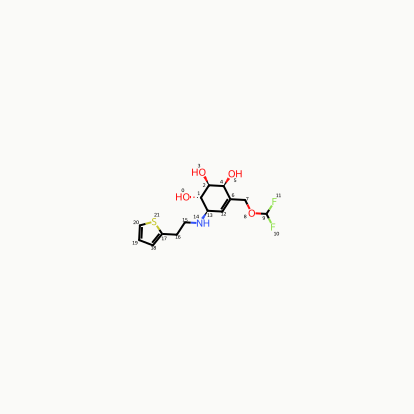 O[C@@H]1[C@@H](O)[C@@H](O)C(COC(F)F)=C[C@H]1NCCc1cccs1